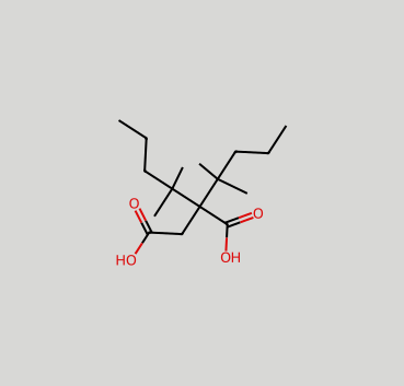 CCCC(C)(C)C(CC(=O)O)(C(=O)O)C(C)(C)CCC